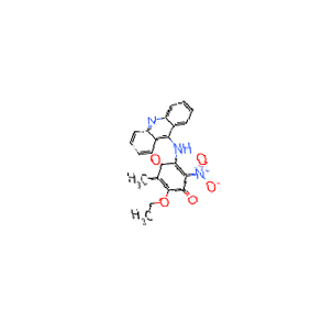 CCOC1=C(C)C(=O)C(Nc2c3ccccc3nc3ccccc23)=C([N+](=O)[O-])C1=O